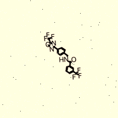 O=C(NCc1ccc(-c2noc(C(F)(F)F)n2)cc1)c1cccc(C(F)(F)F)c1